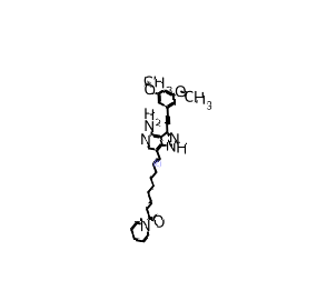 COc1cc(C#Cc2n[nH]c3c(/C=C/CCCCCCC(=O)N4CCCCC4)cnc(N)c23)cc(OC)c1